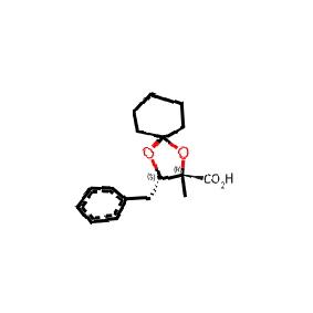 C[C@@]1(C(=O)O)OC2(CCCCC2)O[C@H]1Cc1ccccc1